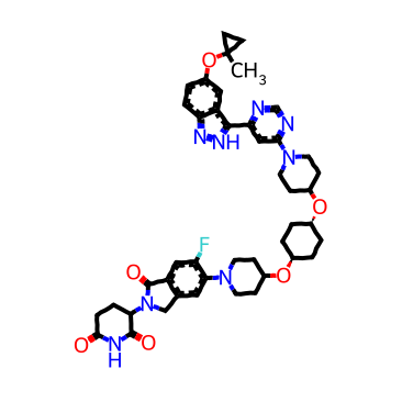 CC1(Oc2ccc3n[nH]c(-c4cc(N5CCC(O[C@H]6CC[C@H](OC7CCN(c8cc9c(cc8F)C(=O)N(C8CCC(=O)NC8=O)C9)CC7)CC6)CC5)ncn4)c3c2)CC1